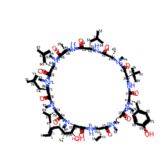 C/C=C/C[C@@H](C)[C@@H](O)[C@H]1C(=O)N[C@@H](CC)C(=O)N(C)CC(=O)N(C)[C@@H](Cc2ccc(O)cc2)C(=O)N[C@@H](C(C)(C)C)C(=O)N(C)[C@@H](C)C(=O)N[C@@H](CC(C)C)C(=O)N[C@H](C)C(=O)N(C)[C@@H](CC(C)C)C(=O)N(C)[C@H](CC(C)C)C(=O)N(C)[C@@H](C(C)C)C(=O)N1C